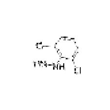 [NH]Nc1c(Cl)cccc1Cl